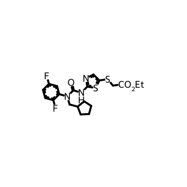 CCOC(=O)CSc1cnc(NC(=O)N(CC2CCCC2)c2cc(F)ccc2F)s1